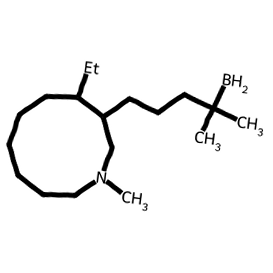 BC(C)(C)CCCC1CN(C)CCCCCCC1CC